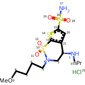 CCCN[C@H]1CN(CCCCOC)S(=O)(=O)c2sc(S(N)(=O)=O)cc21.Cl